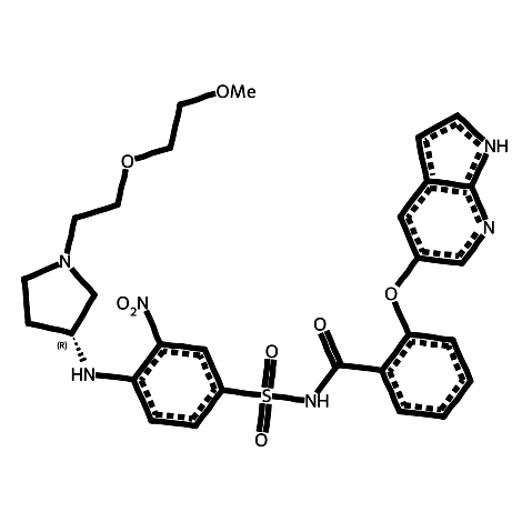 COCCOCCN1CC[C@@H](Nc2ccc(S(=O)(=O)NC(=O)c3ccccc3Oc3cnc4[nH]ccc4c3)cc2[N+](=O)[O-])C1